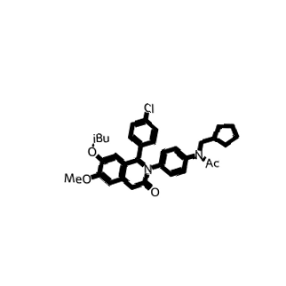 CC[C@@H](C)Oc1cc2c(cc1OC)CC(=O)N(c1ccc(N(CC3CCCC3)C(C)=O)cc1)C2c1ccc(Cl)cc1